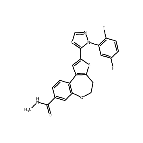 CNC(=O)c1ccc2c(c1)OCCc1sc(-c3ncnn3-c3cc(F)ccc3F)cc1-2